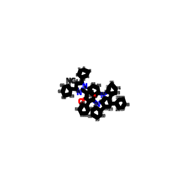 N#Cc1c(-c2ccccc2)nc(-c2ccc(-n3c4ccccc4c4cc(-c5ccccc5)c5c6ccccc6n(-c6ccccc6)c5c43)c3c2oc2ccccc23)nc1-c1ccccc1